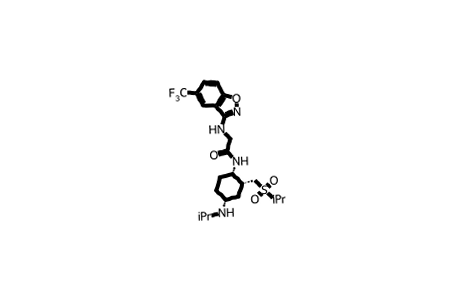 CC(C)N[C@@H]1CC[C@H](NC(=O)CNc2noc3ccc(C(F)(F)F)cc23)[C@H](CS(=O)(=O)C(C)C)C1